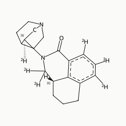 [2H]c1c([2H])c2c3c(c1[2H])C(=O)N([C@]1([2H])CN4CCC1CC4)C([2H])([2H])[C@H]3CCC2